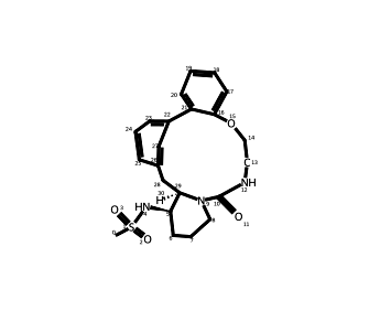 CS(=O)(=O)N[C@@H]1CCCN2C(=O)NCCOc3ccccc3-c3cccc(c3)C[C@H]12